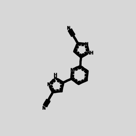 N#Cc1cc(-c2cccc(-c3cc(C#N)n[nH]3)n2)[nH]n1